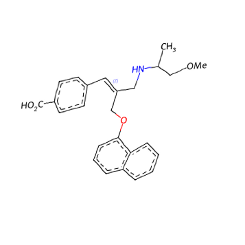 COCC(C)NC/C(=C/c1ccc(C(=O)O)cc1)COc1cccc2ccccc12